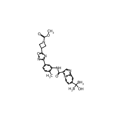 BC(B)(O)c1ccn2c(C(=O)Nc3cc(-c4noc(C5CN(C(=O)OC)C5)n4)ccc3C)cnc2c1